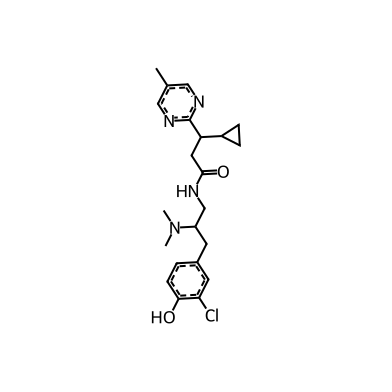 Cc1cnc(C(CC(=O)NCC(Cc2ccc(O)c(Cl)c2)N(C)C)C2CC2)nc1